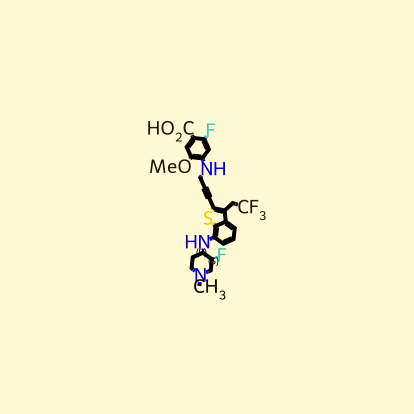 COc1cc(C(=O)O)c(F)cc1NCC#Cc1sc2c(N[C@@H]3CCN(C)C[C@@H]3F)cccc2c1CC(F)(F)F